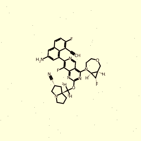 [2H]C([2H])(Oc1nc(N2CCOC[C@H]3[C@H](F)[C@H]32)c2cnc(-c3cc(N)cc4ccc(F)c(C#C)c34)c(F)c2n1)[C@@]12CCCN1C[C@H](C#N)C2